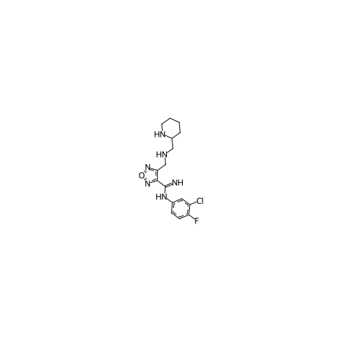 N=C(Nc1ccc(F)c(Cl)c1)c1nonc1CNCC1CCCCN1